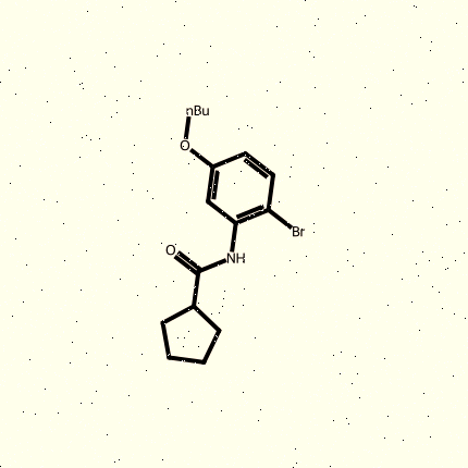 CCCCOc1ccc(Br)c(NC(=O)C2CCCC2)c1